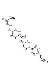 CCCc1ccc(C2CCC(OC(=O)C3CCC(CC/C=C(/F)C#N)CC3)CC2)cc1